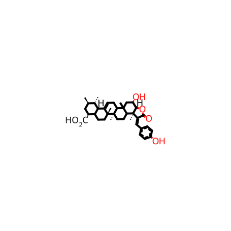 C[C@H]1[C@H](C)C[C@@H](C(=O)O)C2CC[C@]3(C)C(=CCC4C5(C)C[C@@H](O)[C@H]6OC(=O)/C(=C\c7ccc(O)cc7)[C@@]6(C)C5CC[C@]43C)[C@@H]21